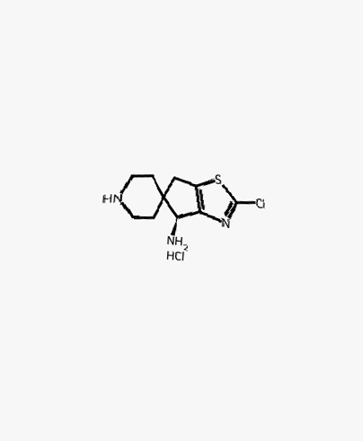 Cl.N[C@@H]1c2nc(Cl)sc2CC12CCNCC2